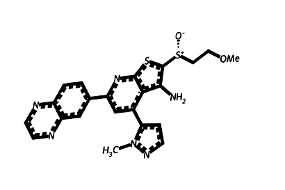 COCC[S@@+]([O-])c1sc2nc(-c3ccc4nccnc4c3)cc(-c3ccnn3C)c2c1N